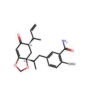 C=CC(C)[C@H]1C[C@]2(C(C)Cc3ccc(OC)c(C(N)=O)c3)OCOC2=CC1=O